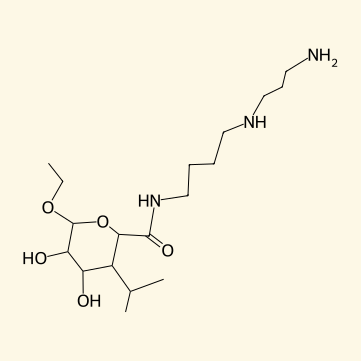 CCOC1OC(C(=O)NCCCCNCCCN)C(C(C)C)C(O)C1O